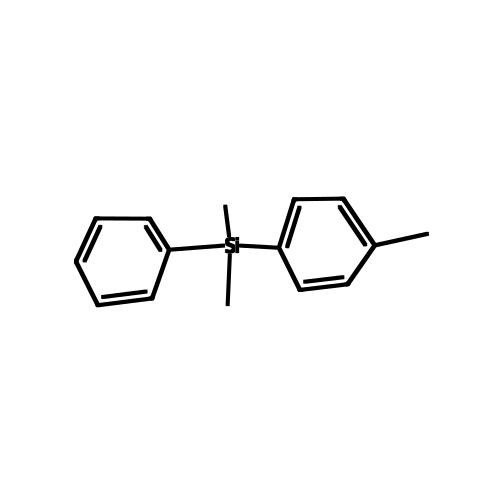 Cc1ccc([Si](C)(C)c2ccccc2)cc1